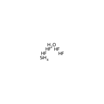 F.F.F.F.O.[SiH4]